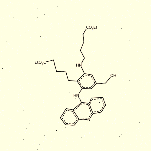 CCOC(=O)CCCCNc1cc(CO)cc(Nc2c3ccccc3nc3ccccc23)c1CCCCC(=O)OCC